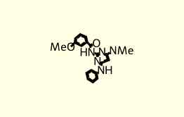 CNc1cc(Nc2ccccc2)nc(NC(=O)c2cccc(OC)c2)n1